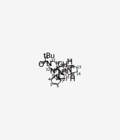 Cc1nc2ccccc2n1C1C[C@H]2CC[C@@H](C1)N2CCC1(c2cccs2)CCN(C(=O)C(C)(C)C)CC1